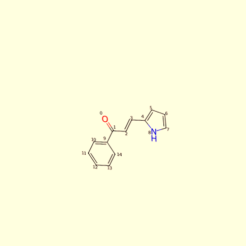 O=C(/C=C/c1ccc[nH]1)c1ccccc1